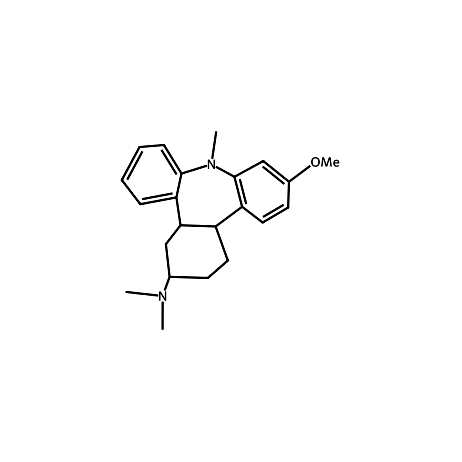 COc1ccc2c(c1)N(C)c1ccccc1C1CC(N(C)C)CCC21